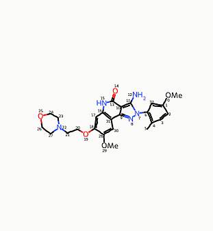 COc1ccc(C)c(-n2nc3c(c2N)c(=O)[nH]c2cc(OCCN4CCOCC4)c(OC)cc23)c1